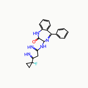 N=C(CC(=N)C1(F)CC1)NC1N=C(c2ccccc2)c2ccccc2NC1=O